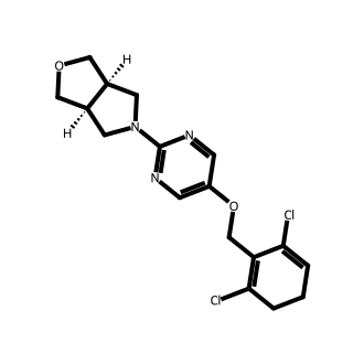 ClC1=CCCC(Cl)=C1COc1cnc(N2C[C@H]3COC[C@H]3C2)nc1